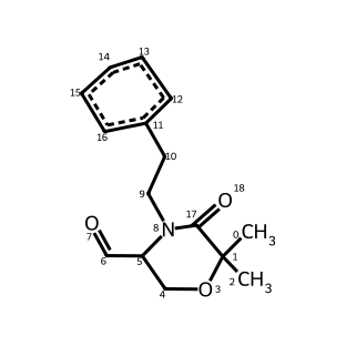 CC1(C)OCC(C=O)N(CCc2ccccc2)C1=O